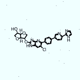 O[C@@H]1CO[C@H]2[C@@H]1OC[C@H]2Oc1nc2nc(-c3ccc(-c4ccc(-c5ncc[nH]5)nc4)cc3)c(Cl)cc2[nH]1